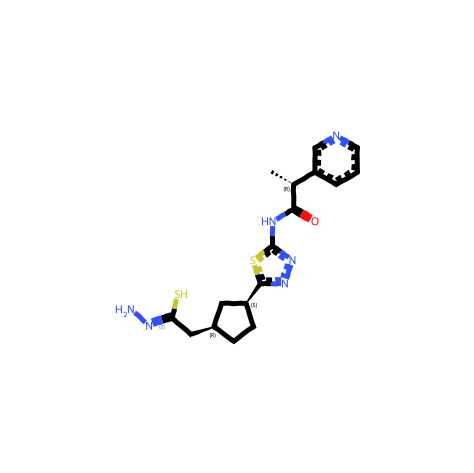 C[C@@H](C(=O)Nc1nnc([C@H]2CC[C@@H](C/C(S)=N/N)C2)s1)c1cccnc1